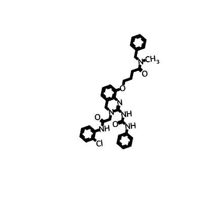 CN(Cc1ccccc1)C(=O)CCCOc1cccc2c1N=C(NC(=O)Nc1ccccc1)N(CC(=O)Nc1ccccc1Cl)C2